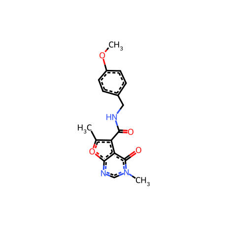 COc1ccc(CNC(=O)c2c(C)oc3ncn(C)c(=O)c23)cc1